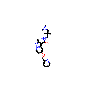 Cc1nn2ccc(OCc3ccccn3)cc2c1C(=O)NCC(C)(C)CN(C)C